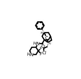 O=C(NC1CCNCC1(F)F)C12CC3C[C@](c4ccccc4)(C1)C[C@@]2(CCCl)C3